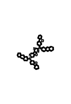 c1ccc2cc3cc(N(c4ccc5c(c4)oc4ccccc45)c4cc5oc6nc(N(c7ccc8cc9ccccc9cc8c7)c7ccc8c(c7)oc7ccccc78)cnc6c5cn4)ccc3cc2c1